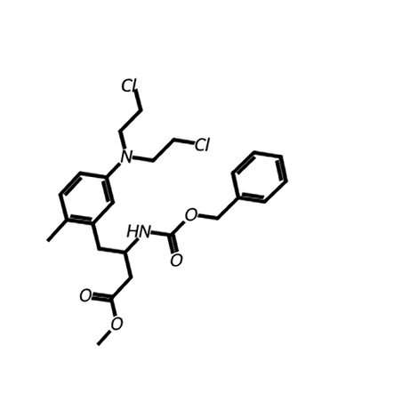 COC(=O)CC(Cc1cc(N(CCCl)CCCl)ccc1C)NC(=O)OCc1ccccc1